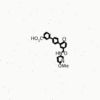 COc1ccc(NC(=O)c2ccc(Cl)c(-c3ccc(-c4cccc(C(=O)O)c4)cc3)c2)cn1